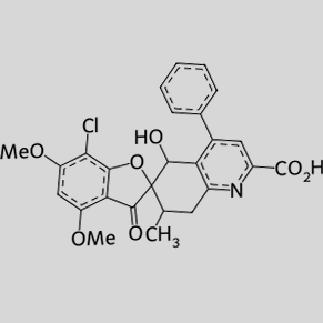 COc1cc(OC)c2c(c1Cl)OC1(C2=O)C(C)Cc2nc(C(=O)O)cc(-c3ccccc3)c2C1O